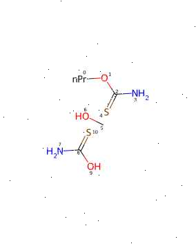 CCCOC(N)=S.CO.NC(O)=S